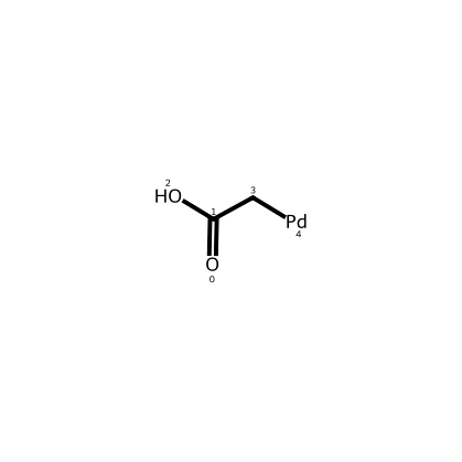 O=C(O)[CH2][Pd]